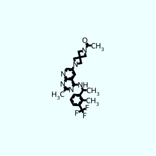 CC(=O)N1CC2(C1)CN(c1cnc3nc(C)nc(NC(C)c4cccc(C(F)(F)F)c4C)c3c1)C2